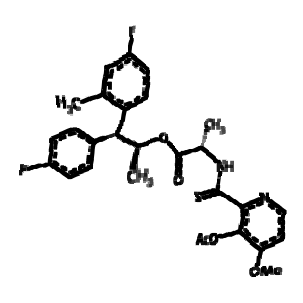 COc1ccnc(C(=S)N[C@@H](C)C(=O)O[C@@H](C)[C@@H](c2ccc(F)cc2)c2ccc(F)cc2C)c1OC(C)=O